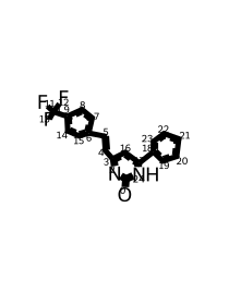 O=c1nc(C=Cc2ccc(C(F)(F)F)cc2)cc(-c2ccccc2)[nH]1